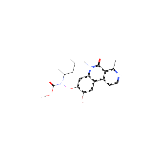 Cc1nccc2c1c(=O)n(C)c1cc(ON(C(=O)OC(C)(C)C)C(C)CCC(F)(F)F)c(Br)cc21